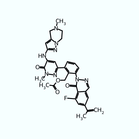 C=C(C)c1cc(F)c2c(=O)n(-c3cccc(-c4cc(Nc5cc6n(n5)CCN(C)C6)c(=O)n(C)n4)c3COC(C)=O)ncc2c1